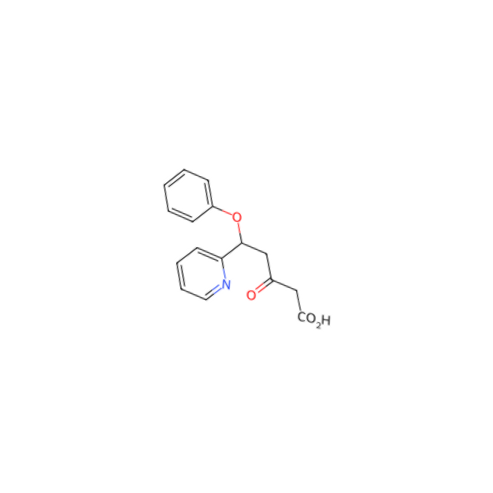 O=C(O)CC(=O)CC(Oc1ccccc1)c1ccccn1